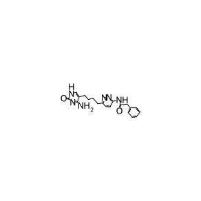 Nc1nc(=O)[nH]cc1CCCCc1ccc(NC(=O)Cc2ccccc2)nn1